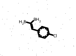 BC(B)=Cc1ccc(Cl)cc1